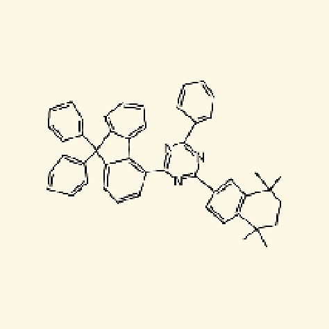 CC1(C)CCC(C)(C)c2cc(-c3nc(-c4ccccc4)nc(-c4cccc5c4-c4ccccc4C5(c4ccccc4)c4ccccc4)n3)ccc21